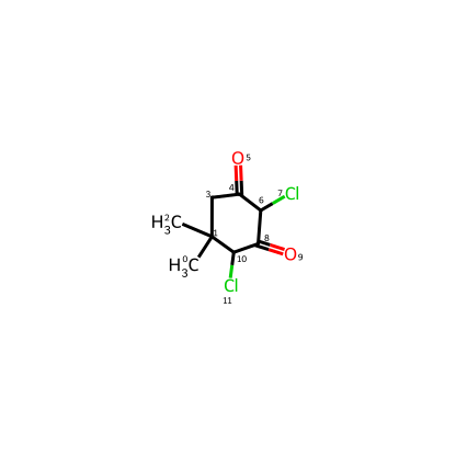 CC1(C)CC(=O)C(Cl)C(=O)C1Cl